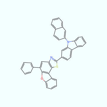 c1ccc(-c2cc3nc(-c4ccc5c6ccccc6n(-c6ccc7ccccc7c6)c5c4)sc3c3c2oc2ccccc23)cc1